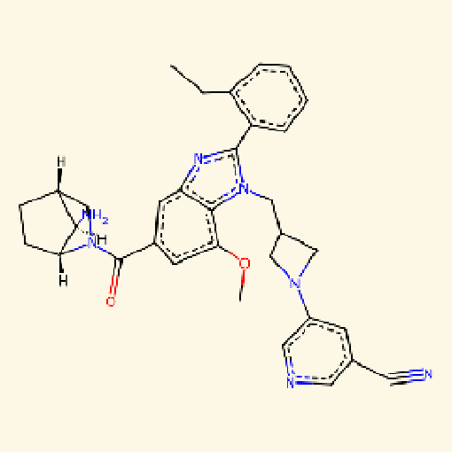 CCc1ccccc1-c1nc2cc(C(=O)N3C[C@H]4CC[C@@H]3[C@@H]4N)cc(OC)c2n1CC1CN(c2cncc(C#N)c2)C1